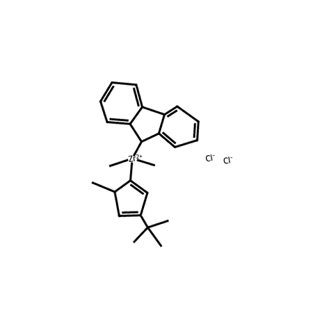 CC1C=C(C(C)(C)C)C=[C]1[Zr+2]([CH3])([CH3])[CH]1c2ccccc2-c2ccccc21.[Cl-].[Cl-]